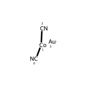 N#[C][Co][C]#N.[Au]